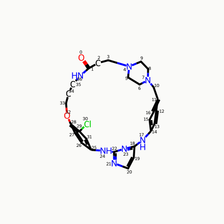 O=C1CCN2CCN(CC2)Cc2ccc(cc2)Nc2ccnc(n2)Nc2ccc(c(Cl)c2)OCCCN1